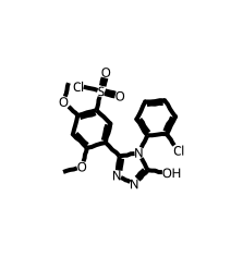 COc1cc(OC)c(S(=O)(=O)Cl)cc1-c1nnc(O)n1-c1ccccc1Cl